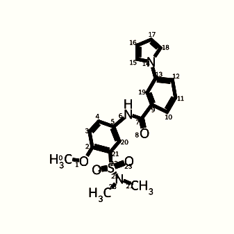 COc1ccc(NC(=O)c2cccc(-n3cccc3)c2)cc1S(=O)(=O)N(C)C